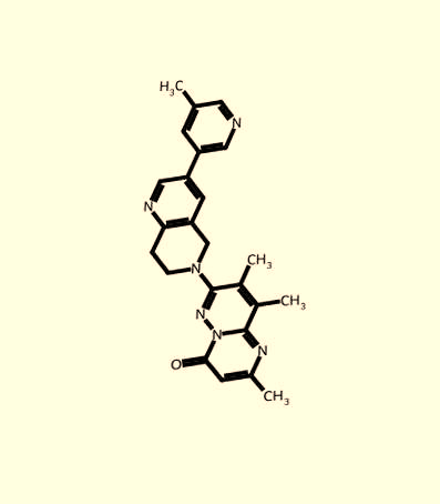 Cc1cncc(-c2cnc3c(c2)CN(c2nn4c(=O)cc(C)nc4c(C)c2C)CC3)c1